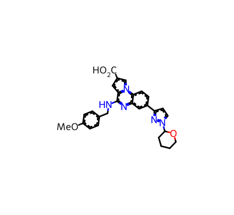 COc1ccc(CNc2nc3cc(-c4ccn(C5CCCCO5)n4)ccc3n3cc(C(=O)O)cc23)cc1